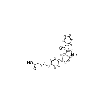 O=C(O)CCCOc1ccc(-c2cnc3[nH]cc(C(=O)c4ccccc4)c3c2)cc1